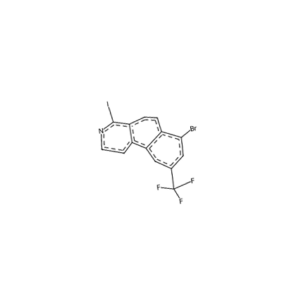 FC(F)(F)c1cc(Br)c2ccc3c(I)nccc3c2c1